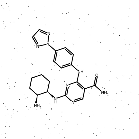 NC(=O)c1cnc(N[C@@H]2CCCC[C@@H]2N)nc1Nc1ccc(-n2nccn2)cc1